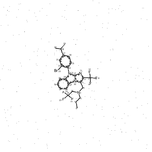 CCCN(Cc1c(C(F)(F)F)nc2n(-c3ccc(C(C)C)cc3Br)c3ccccc3n12)CC(F)(F)F